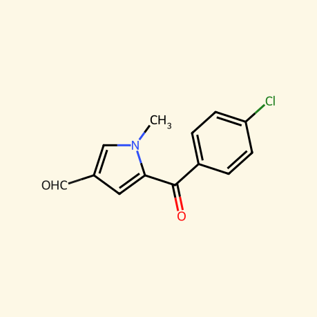 Cn1cc(C=O)cc1C(=O)c1ccc(Cl)cc1